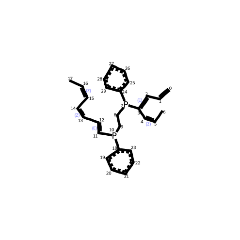 C=C/C=C(\C=C/C)P(CCP(/C=C/C=C\C=C/C)c1ccccc1)c1ccccc1